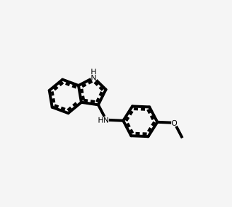 COc1ccc(Nc2c[nH]c3ccccc23)cc1